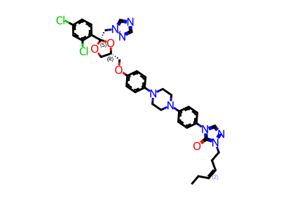 CC/C=C\CCn1ncn(-c2ccc(N3CCN(c4ccc(OC[C@@H]5CO[C@@](Cn6cncn6)(c6ccc(Cl)cc6Cl)O5)cc4)CC3)cc2)c1=O